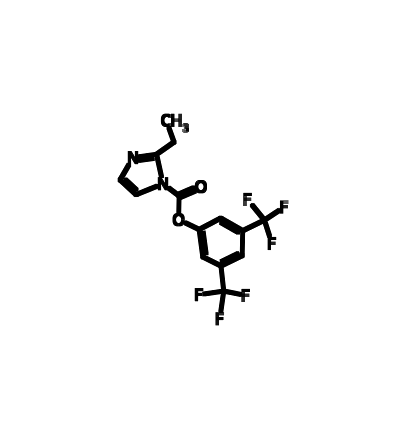 CCc1nccn1C(=O)Oc1cc(C(F)(F)F)cc(C(F)(F)F)c1